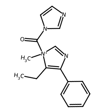 CCC1=C(c2ccccc2)N=C[N+]1(C)C(=O)n1ccnc1